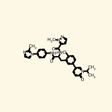 Cc1nccn1-c1ccc(NC(=O)C(Cc2cc(-c3ccc(=O)n(C(C)C)c3)ccc2Cl)NC(=O)c2ccnn2C)cc1